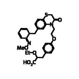 CCOC(Cc1ccc(OCCN2C(=O)CSc3ccc(CC4C=CC=CC4=NOC)cc32)cc1)C(=O)O